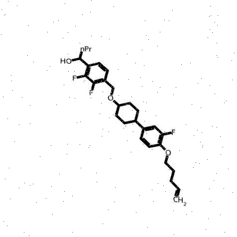 C=CCCCOc1ccc(C2CCC(OCc3ccc(C(O)CCC)c(F)c3F)CC2)cc1F